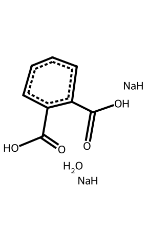 O.O=C(O)c1ccccc1C(=O)O.[NaH].[NaH]